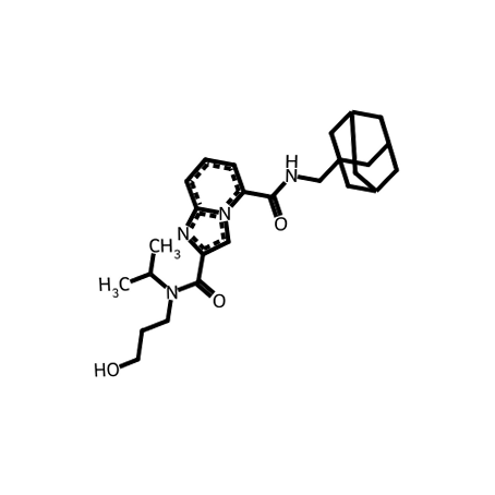 CC(C)N(CCCO)C(=O)c1cn2c(C(=O)NCC34CC5CC(CC(C5)C3)C4)cccc2n1